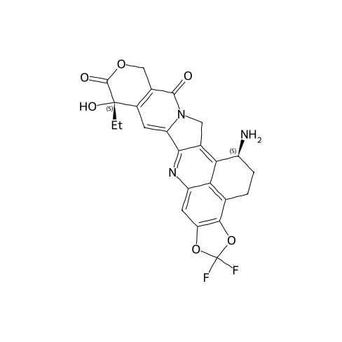 CC[C@@]1(O)C(=O)OCc2c1cc1n(c2=O)Cc2c-1nc1cc3c(c4c1c2[C@@H](N)CC4)OC(F)(F)O3